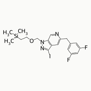 C[Si](C)(C)CCOCn1nc(I)c2cc(Cc3cc(F)cc(F)c3)ncc21